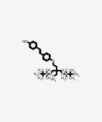 CCC(CCOc1ccc(/C=C/c2ccc(O)cc2)cc1)(CO[Si](C)(C)C(C)(C)C)CO[Si](C)(C)C(C)(C)C